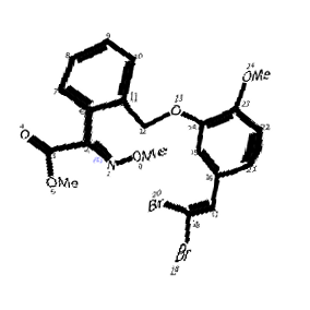 CO/N=C(/C(=O)OC)c1ccccc1COc1cc(C=C(Br)Br)ccc1OC